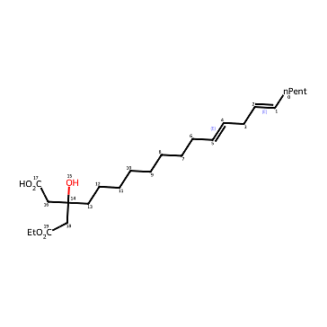 CCCCC/C=C/C/C=C/CCCCCCCCC(O)(CC(=O)O)CC(=O)OCC